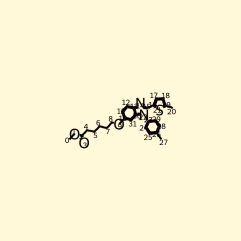 COC(=O)CCCCCOc1ccc2nc(-c3ccc(C)s3)n(-c3ccc(C)cc3)c2c1